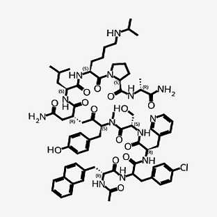 CC(=O)N[C@H](Cc1ccc2ccccc2c1)C(=O)NC(Cc1ccc(Cl)cc1)C(=O)N[C@H](Cc1cccnc1)C(=O)N[C@@H](CO)C(=O)N(C)[C@@H](Cc1ccc(O)cc1)C(=O)C[C@H](CC(N)=O)C(=O)N[C@@H](CC(C)C)C(=O)N[C@@H](CCCCNC(C)C)C(=O)N1CCC[C@H]1C(=O)N[C@H](C)C(N)=O